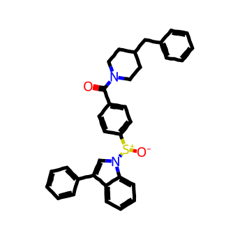 O=C(c1ccc([S+]([O-])n2cc(-c3ccccc3)c3ccccc32)cc1)N1CCC(Cc2ccccc2)CC1